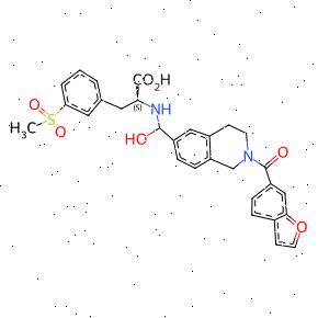 CS(=O)(=O)c1cccc(C[C@H](NC(O)c2ccc3c(c2)CCN(C(=O)c2ccc4ccoc4c2)C3)C(=O)O)c1